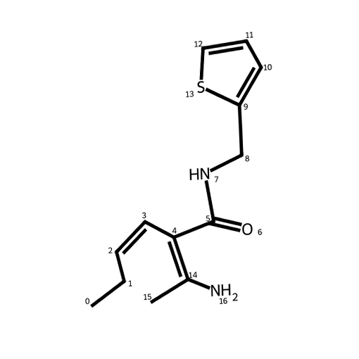 CC/C=C\C(C(=O)NCc1cccs1)=C(/C)N